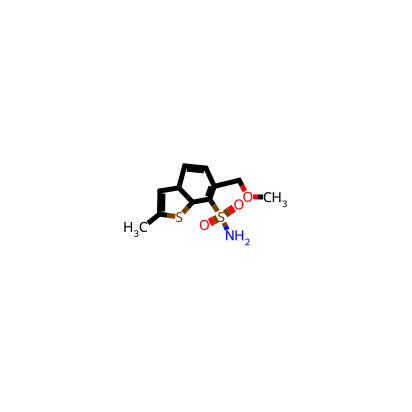 COCC1=C(S(N)(=O)=O)C2SC(C)=CC2C=C1